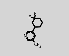 FC1(F)CCCC(c2cncc(C(F)(F)F)c2)C1